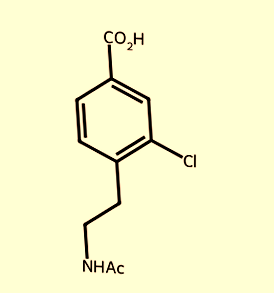 CC(=O)NCCc1ccc(C(=O)O)cc1Cl